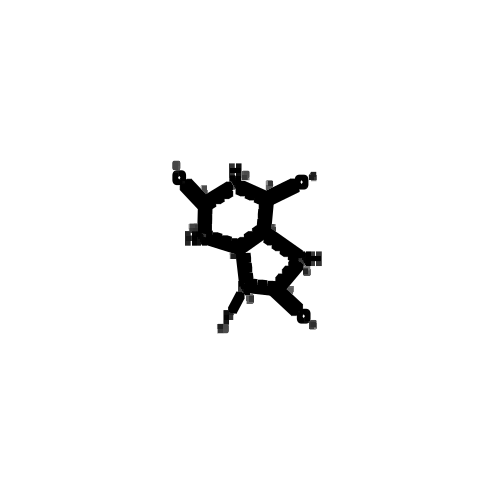 O=c1[nH]c(=O)c2[nH]c(=O)n(F)c2[nH]1